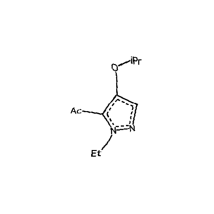 CCn1ncc(OC(C)C)c1C(C)=O